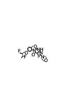 C=C(F)/C(=C/F)COc1ccc(C)c(-n2c(=O)[nH]c3nc(N4CCOCC4)sc3c2=O)c1